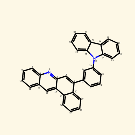 c1cc(-c2cc3nc4ccccc4cc3c3ccccc23)cc(-n2c3ccccc3c3ccccc32)c1